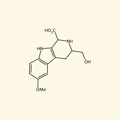 COc1ccc2[nH]c3c(c2c1)CC(CO)NC3C(=O)O